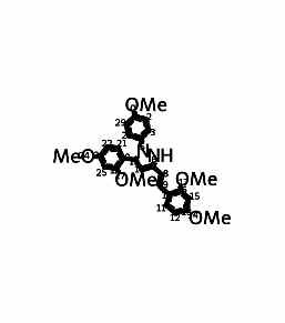 COc1ccc(N2NC(C=Cc3ccc(OC)cc3OC)=CC2c2ccc(OC)cc2OC)cc1